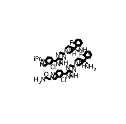 CC(C)n1ncc2c(Cl)c(-c3n[nH]c4nc(N5CC[C@@H]6[C@H](C5)[C@@]6(CN)c5ccccc5F)cnc34)ccc21.NC[C@]1(c2ccccc2F)[C@@H]2CCN(c3cnc4c(-c5ccc6nn(CC(N)=O)cc6c5Cl)n[nH]c4n3)C[C@@H]21